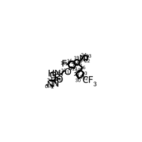 Cn1cnc(S(=O)(=O)NCCOc2cc3c(cc2F)CC(N2CCC2)C3Cc2cccc(C(F)(F)F)c2)c1